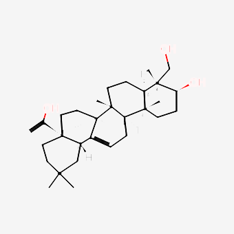 C=C(O)[C@]12CCC(C)(C)C[C@H]1C1=CC[C@@H]3[C@@]4(C)CC[C@H](O)[C@@](C)(CO)[C@@H]4CC[C@@]3(C)[C@]1(C)CC2